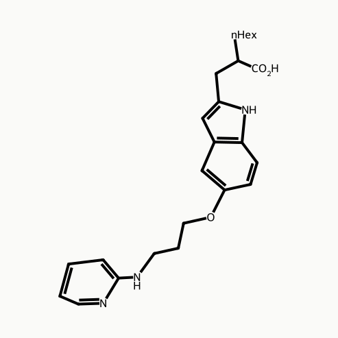 CCCCCCC(Cc1cc2cc(OCCCNc3ccccn3)ccc2[nH]1)C(=O)O